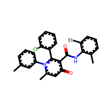 CCc1cccc(C)c1NC(=O)c1c(-c2ccccc2Cl)n(-c2cccc(C)c2)c(C)cc1=O